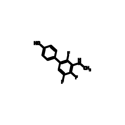 CNc1c(F)c(F)cc(-c2ccc(O)cc2)c1F